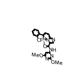 COc1cc(NC(=O)c2cnc3ccc(-c4ccccc4C(F)(F)F)nn23)nc(OC)n1